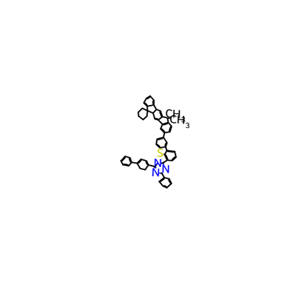 CC1(C)C2=CC3c4ccccc4C4(CCCCC4)C3C=C2c2cc(-c3ccc4sc5c(-c6nc(C7=CC=C(c8ccccc8)CC7)nc(-c7ccccc7)n6)cccc5c4c3)ccc21